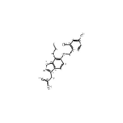 CCCc1c(OCc2ccc(Cl)cc2Cl)ccc2c(CC(=O)O)coc12